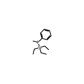 CC[Si](CC)(CC)P(C)c1ccccc1